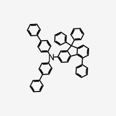 c1ccc(-c2ccc(N(c3ccc(-c4ccccc4)cc3)c3ccc4c(c3)C(c3ccccc3)(c3ccccc3)c3cccc(-c5ccccc5)c3-4)cc2)cc1